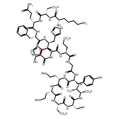 CSCC[C@H](NC(=O)[C@H](Cc1ccc(O)cc1)NC(=O)CNC(=O)[C@H](CCC(=O)O)NC(=O)[C@H](Cc1c[nH]cn1)NC(=O)[C@@H](NC(=O)[C@H](Cc1c[nH]cn1)NC(=O)[C@H](Cc1ccccc1)NC(=O)[C@H](CCC(N)=O)NC(=O)[C@H](CC(=O)O)NC(=O)[C@@H](N)CCCCN)[C@@H](C)O)C(=O)N[C@@H](CCSC)C(=O)N[C@@H](CC(=O)O)C(=O)N[C@@H](CC(C)C)C(=O)N[C@H](C(=O)O)[C@@H](C)O